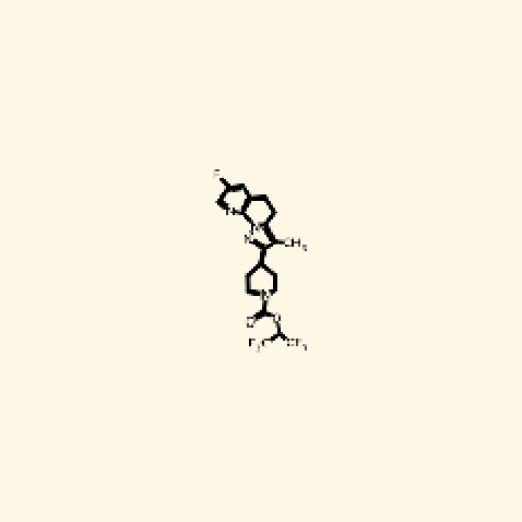 Cc1c(C2CCN(C(=O)OC(C(F)(F)F)C(F)(F)F)CC2)nn2c1CCc1cc(F)cnc1-2